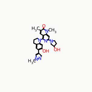 Cc1cc2c(N3CCCc4cc(-c5cnn(C)c5)c(O)cc43)nc(N3CCC(O)C3)cc2n(C)c1=O